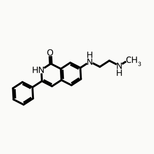 CNCCNc1ccc2cc(-c3ccccc3)[nH]c(=O)c2c1